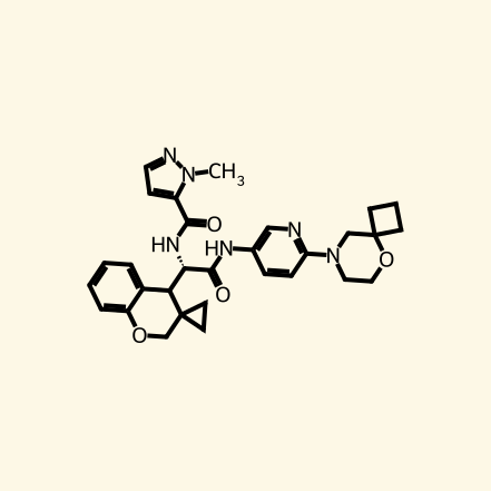 Cn1nccc1C(=O)N[C@H](C(=O)Nc1ccc(N2CCOC3(CCC3)C2)nc1)C1c2ccccc2OCC12CC2